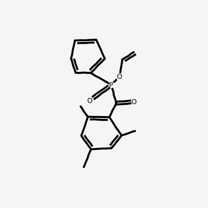 C=COP(=O)(C(=O)c1c(C)cc(C)cc1C)c1ccccc1